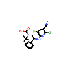 CC(C)(C)N(CC(Nc1nc(Cl)c(C#N)cc1F)c1ccccc1)C(=O)O